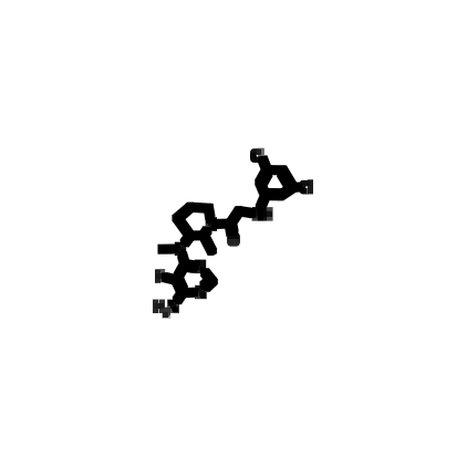 CC1C(N(C)c2ncnc(N)c2F)CCCN1C(=O)CNc1cc(Cl)cc(Cl)c1